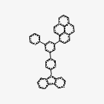 c1ccc(-c2cc(-c3ccc(-n4c5ccccc5c5cnccc54)nc3)cc(-c3ccc4ccc5cccc6ccc3c4c56)n2)nc1